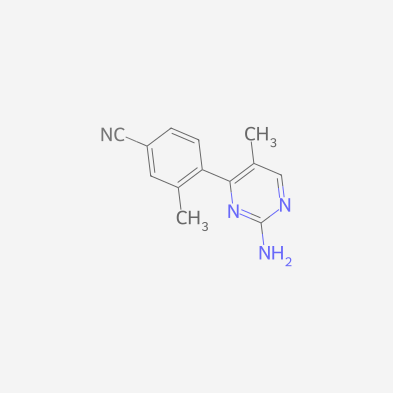 Cc1cc(C#N)ccc1-c1nc(N)ncc1C